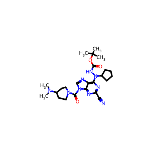 CN(C)C1CCN(C(=O)n2cnc3c(N(NC(=O)OC(C)(C)C)C4CCCC4)nc(C#N)nc32)CC1